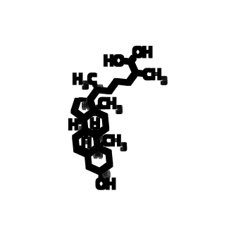 CC(CCC[C@@H](C)[C@H]1CC[C@H]2[C@@H]3CC=C4C[C@@H](O)CC[C@]4(C)[C@H]3CC[C@]12C)C(O)O